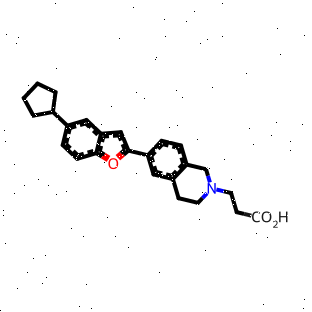 O=C(O)CCN1CCc2cc(-c3cc4cc(C5CCCC5)ccc4o3)ccc2C1